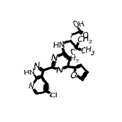 CC(C)(C)[C@@H](CC(=O)O)Nc1cc(-c2ccco2)nc(-c2n[nH]c3ncc(Cl)cc23)n1